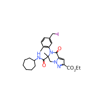 CCOC(=O)c1cc2n(n1)CC(C)(C(=O)NC1CCCCCC1)N(c1cc(CI)ccc1C)C2=O